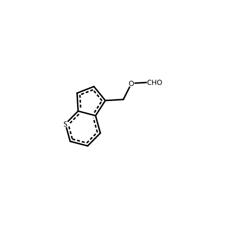 O=COCc1ccc2scccc1-2